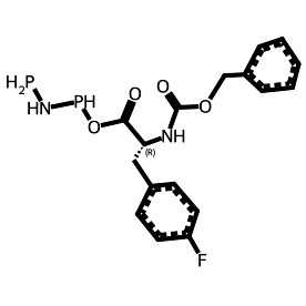 O=C(N[C@H](Cc1ccc(F)cc1)C(=O)OPNP)OCc1ccccc1